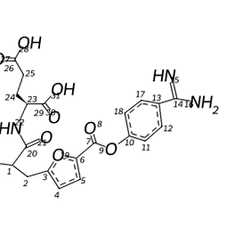 CC(Cc1ccc(C(=O)Oc2ccc(C(=N)N)cc2)o1)C(=O)N[C@@H](CCC(=O)O)C(=O)O